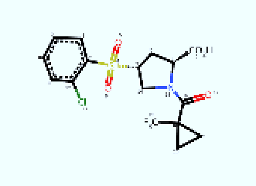 O=C(O)[C@@H]1C[C@@H](S(=O)(=O)c2ccccc2Cl)CN1C(=O)C1(C(F)(F)F)CC1